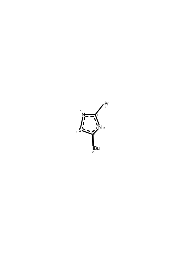 CCC(C)c1nc(C(C)C)ns1